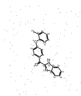 O=C(c1ccc(Oc2ncccc2I)cc1)c1nc2ccccc2[nH]1